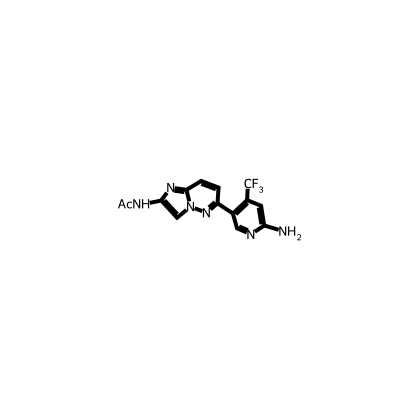 CC(=O)Nc1cn2nc(-c3cnc(N)cc3C(F)(F)F)ccc2n1